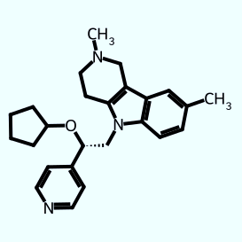 Cc1ccc2c(c1)c1c(n2C[C@@H](OC2CCCC2)c2ccncc2)CCN(C)C1